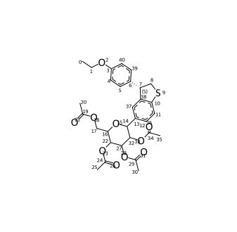 CCOc1ccc([C@@H]2CSc3ccc(C4OC(COC(C)=O)C(OC(C)=O)C(OC(C)=O)C4OC(C)=O)cc32)cc1